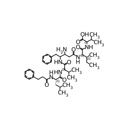 CC[C@H](C)[C@H](NC(=O)CC(N)C(Cc1ccccc1)NC(=O)[C@@H](NC(=O)[C@H](CC(C)C)NC(=O)CCc1ccccc1)C(C)C)C(=O)N[C@H](C(=O)O)C(C)C